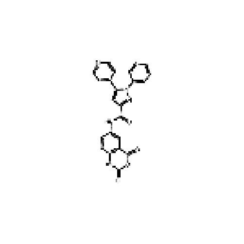 O=C(Nc1ccc2[nH]c(=O)oc(=O)c2c1)c1cc(-c2ccncc2)n(-c2ccccc2)n1